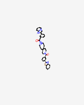 O=C(c1cccc(-c2cn3ccccc3n2)c1)N1CCC2(CC1)CCN(C(=O)c1cccc(-c3nc4c(s3)CCCC4)c1)CC2